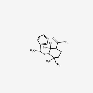 CCC1(CC)C(C(N)=O)CCC(C)(C)N1OC(C)c1ccccc1